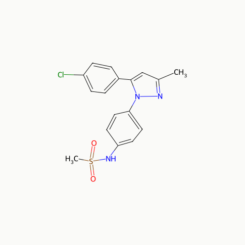 Cc1cc(-c2ccc(Cl)cc2)n(-c2ccc(NS(C)(=O)=O)cc2)n1